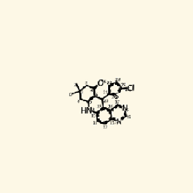 CC1(C)CC(=O)C2=C(C1)Nc1ccc3ncncc3c1C2c1ccc(Cl)s1